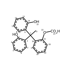 CC(c1ccccc1O)(c1ccccc1O)c1ccccc1OC(=O)O